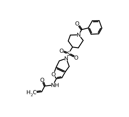 C=CC(=O)Nc1cc2c(o1)CN(S(=O)(=O)C1CCN(C(=O)c3ccccc3)CC1)C2